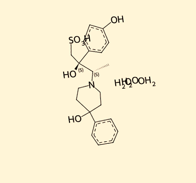 C[C@H](N1CCC(O)(c2ccccc2)CC1)[C@](O)(CS(=O)(=O)O)c1ccc(O)cc1.O.O.O